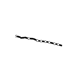 C=C=C=C=C=C=C=C=C=C=C=S